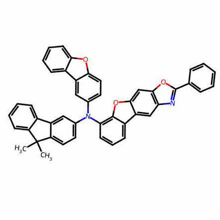 CC1(C)c2ccccc2-c2cc(N(c3ccc4oc5ccccc5c4c3)c3cccc4c3oc3cc5oc(-c6ccccc6)nc5cc34)ccc21